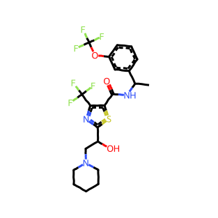 CC(NC(=O)c1sc(C(O)CN2CCCCC2)nc1C(F)(F)F)c1cccc(OC(F)(F)F)c1